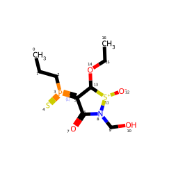 CCC/P(=S)=C1/C(=O)N(CO)[S+]([O-])C1OCC